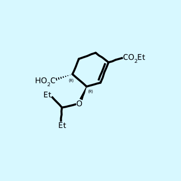 CCOC(=O)C1=C[C@@H](OC(CC)CC)[C@H](C(=O)O)CC1